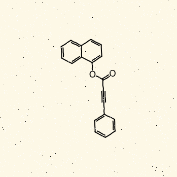 O=C(C#Cc1ccccc1)Oc1cccc2ccccc12